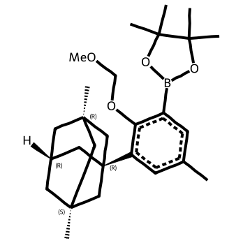 COCOc1c(B2OC(C)(C)C(C)(C)O2)cc(C)cc1[C@@]12C[C@@H]3C[C@@](C)(C[C@@](C)(C3)C1)C2